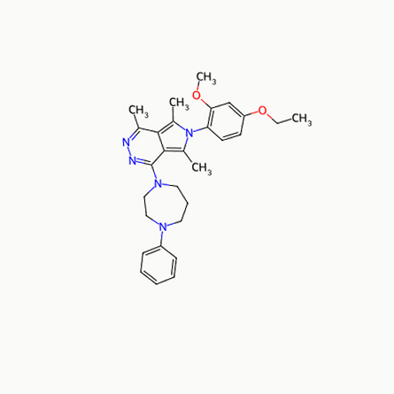 CCOc1ccc(-n2c(C)c3c(C)nnc(N4CCCN(c5ccccc5)CC4)c3c2C)c(OC)c1